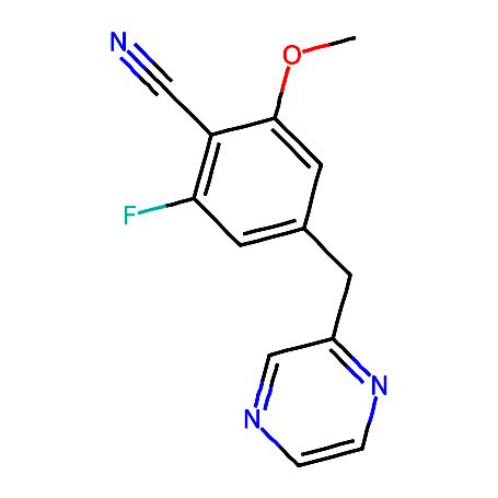 COc1cc(Cc2cnccn2)cc(F)c1C#N